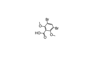 COc1c(Br)cc(Br)c(OC)c1C(=O)O